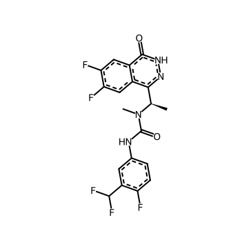 C[C@H](c1n[nH]c(=O)c2cc(F)c(F)cc12)N(C)C(=O)Nc1ccc(F)c(C(F)F)c1